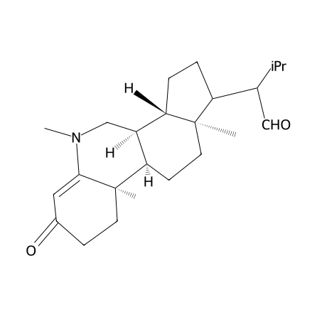 CC(C)C(C=O)C1CC[C@H]2[C@@H]3CN(C)C4=CC(=O)CC[C@]4(C)[C@@H]3CC[C@]12C